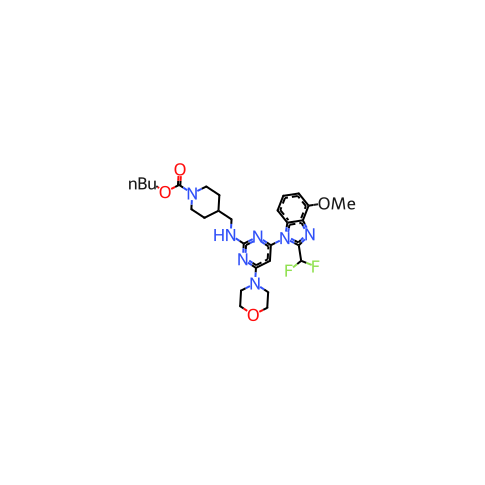 CCCCOC(=O)N1CCC(CNc2nc(N3CCOCC3)cc(-n3c(C(F)F)nc4c(OC)cccc43)n2)CC1